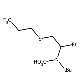 CCC(CSCCC(F)(F)F)N(C(=O)O)C(C)(C)C